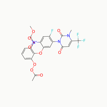 COCCc1cccc(OOC(C)=O)c1Oc1cc(-n2c(=O)cc(C(F)(F)F)n(C)c2=O)c(F)cc1[N+](=O)[O-]